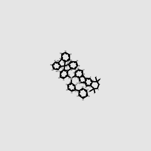 CC1(C)CCC(C)(C)c2cc3c(cc21)sc1c(N(c2cccc(-c4ccccc4)c2)c2cccc4c2-c2ccccc2C42c4ccccc4-c4ccccc42)cccc13